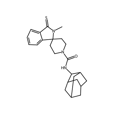 CN1C(=S)c2ccccc2C12CCN(C(=O)NC1C3CC4CC(C3)CC1C4)CC2